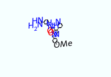 COc1ccc(Cn2ncc(-c3cccc(N)c3)c(CC(=O)NCc3cccc(C(=N)N)c3)c2=O)cc1